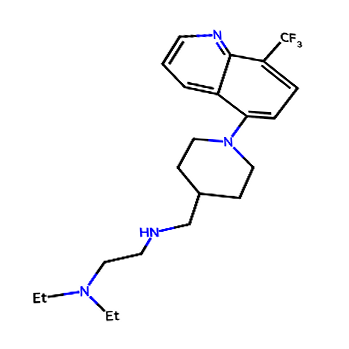 CCN(CC)CCNCC1CCN(c2ccc(C(F)(F)F)c3ncccc23)CC1